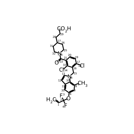 C=CC(F)(F)Oc1cc(C)c2c(ccn2Cc2c(Cl)ccc(C(=O)N3CCC(CCC(=O)O)CC3)c2Cl)c1